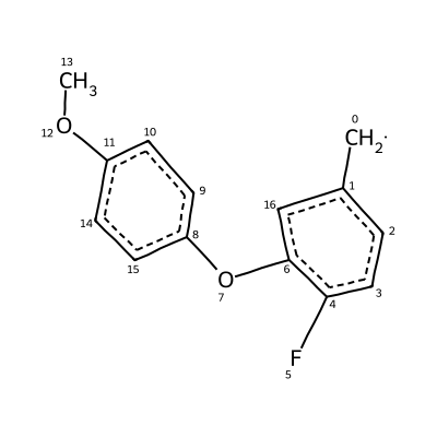 [CH2]c1ccc(F)c(Oc2ccc(OC)cc2)c1